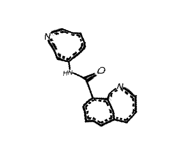 O=C(Nc1cccnc1)c1cccc2cccnc12